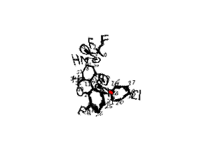 CC(F)(F)S(=O)(=O)N[C@@H]1CC[C@@]2(S(=O)(=O)c3ccc(Cl)cc3)c3c(F)ccc(F)c3OC[C@H]2C1